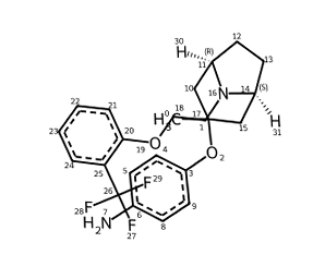 CC1(Oc2ccc(N)cc2)C[C@H]2CC[C@@H](C1)N2CCOc1ccccc1C(F)(F)F